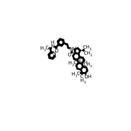 C=C(C)[C@@H]1CC[C@]2(C(=O)NCCc3cccc(C(=O)NC(C)c4ccccn4)c3)CC[C@]3(C)C(CCC4[C@@]5(C)CC[C@H](O)C(C)(C)C5CC[C@]43C)C12